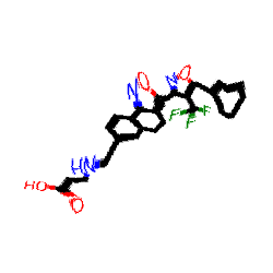 O=C(O)CCNCc1ccc2c(c1)CCc1c-2noc1-c1noc(-c2ccccc2)c1C(F)(F)F